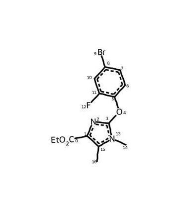 CCOC(=O)c1nc(Oc2ccc(Br)cc2F)n(C)c1C